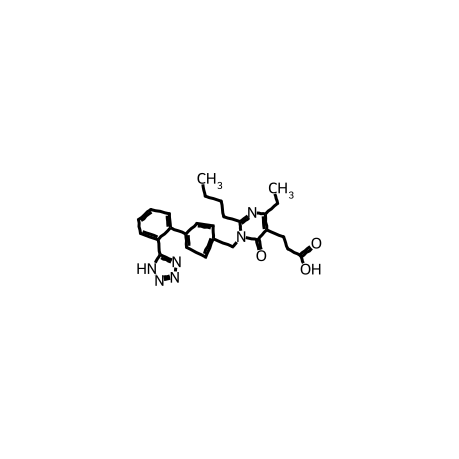 CCCCc1nc(CC)c(CCC(=O)O)c(=O)n1Cc1ccc(-c2ccccc2-c2nnn[nH]2)cc1